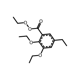 CCOOC(=O)c1cc(CC)cc(OCC)c1OCC